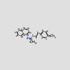 Cc1ccc(/C=C/CN(C)Cc2cccc3ccccc23)cc1